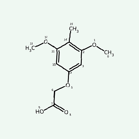 COc1cc(OCC(=O)O)cc(OC)c1C